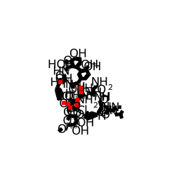 CN[C@H](CC(C)C)C(=O)NC1C(=O)N[C@@H](CC(N)=O)CN[C@H]2C(=O)N[C@H]3C(=O)N[C@H](C(=O)N[C@@H](C(=O)O)c4cc(O)cc(O)c4-c4cc3ccc4O)[C@H](O)c3ccc(c(Cl)c3)Oc3cc2cc(c3O[C@@H]2O[C@H](COC)[C@@H](O)[C@H](O)[C@H]2O[C@H]2C[C@](C)(N)[C@H](O)[C@H](C)O2)Oc2ccc(cc2Cl)[C@H]1O